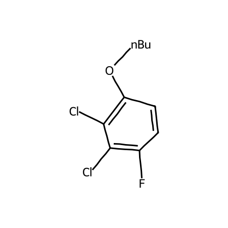 CCCCOc1ccc(F)c(Cl)c1Cl